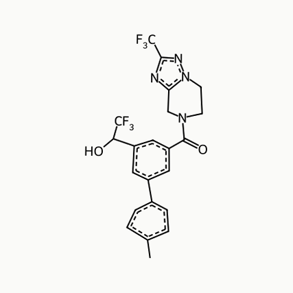 Cc1ccc(-c2cc(C(=O)N3CCn4nc(C(F)(F)F)nc4C3)cc(C(O)C(F)(F)F)c2)cc1